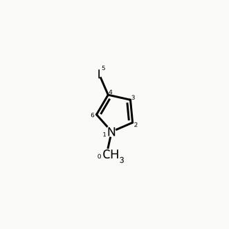 Cn1ccc(I)c1